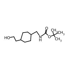 CC(C)(C)OC(=O)NCC1CCC(CCO)CC1